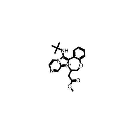 COC(=O)CC1COc2ccccc2-c2c(NC(C)(C)C)n3ccncc3[n+]21